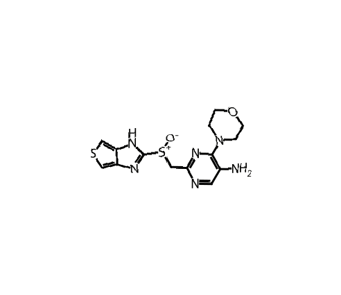 Nc1cnc(C[S+]([O-])c2nc3cscc3[nH]2)nc1N1CCOCC1